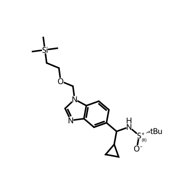 CC(C)(C)[S@+]([O-])NC(c1ccc2c(c1)ncn2COCC[Si](C)(C)C)C1CC1